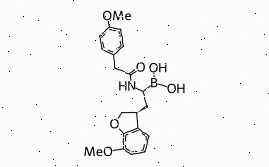 COc1ccc(CC(=O)NC(C[C@@H]2COc3c(OC)cccc32)B(O)O)cc1